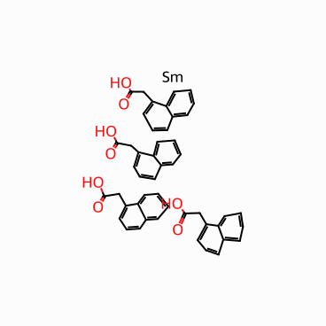 O=C(O)Cc1cccc2ccccc12.O=C(O)Cc1cccc2ccccc12.O=C(O)Cc1cccc2ccccc12.O=C(O)Cc1cccc2ccccc12.[Sm]